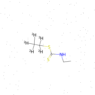 [2H]C([2H])([2H])C([2H])([2H])SC(=S)NCC